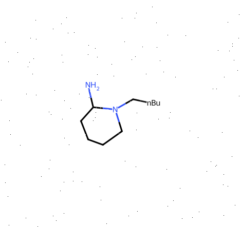 [CH2]CCCCN1CCCCC1N